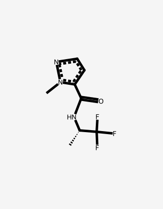 C[C@H](NC(=O)c1ccnn1C)C(F)(F)F